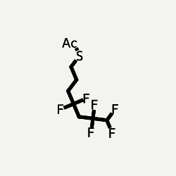 CC(=O)SCCCC(F)(F)CC(F)(F)C(F)F